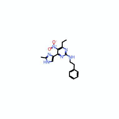 CCc1nc(NCCc2ccccc2)nc(-c2c[nH]c(C)n2)c1[N+](=O)[O-]